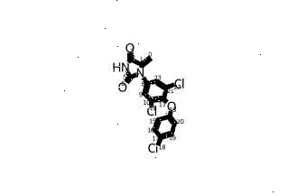 C=C1C(=O)NC(=O)N1c1cc(Cl)c(Oc2ccc(Cl)cc2)c(Cl)c1